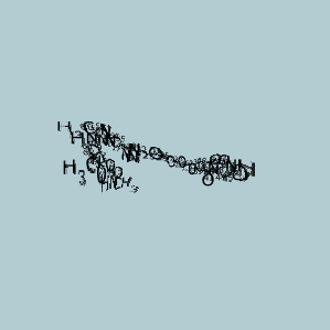 CNC(=O)COc1cc2cc(Nc3nc(N4CCC(c5cn(CCOCCOCCOCCOc6ccc7c(c6)C(=O)N(C6CCC(=O)NC6=O)C7=O)nn5)CC4)ncc3C)ccc2n(C)c1=O